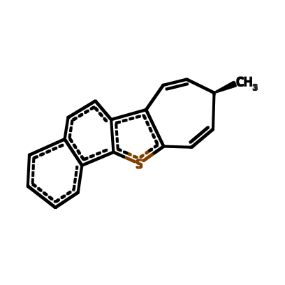 C[C@H]1C=Cc2sc3c(ccc4ccccc43)c2C=C1